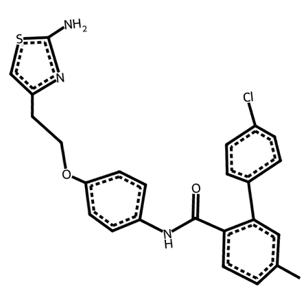 Cc1ccc(C(=O)Nc2ccc(OCCc3csc(N)n3)cc2)c(-c2ccc(Cl)cc2)c1